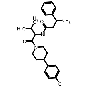 CC(CC(=O)N[C@@H](C(=O)N1CCC(c2ccc(Cl)cc2)CC1)C(C)C)c1ccccc1